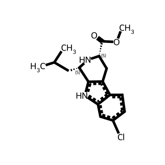 COC(=O)[C@@H]1Cc2c([nH]c3cc(Cl)ccc23)[C@H](CC(C)C)N1